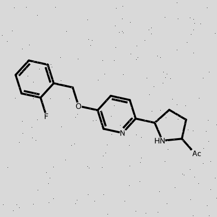 CC(=O)C1CCC(c2ccc(OCc3ccccc3F)cn2)N1